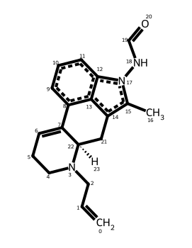 C=CCN1CCC=C2c3cccc4c3c(c(C)n4NC=O)C[C@H]21